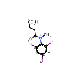 CN(C(=O)CCC(=O)O)c1c(I)cc(I)cc1I